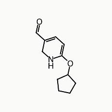 O=CC1=CC=C(OC2CCCC2)NC1